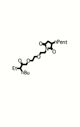 CCCCCC1CC(=O)N(CCOCCOCC(=O)C(CC)CCCC)C1=O